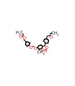 C=CC(=O)Cc1ccc(C(OO)c2ccc(OCOc3ccc(COC(=O)C=C)cc3)c(C)c2)cc1